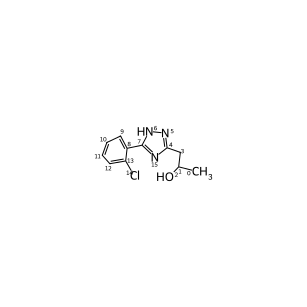 CC(O)Cc1n[nH]c(-c2ccccc2Cl)n1